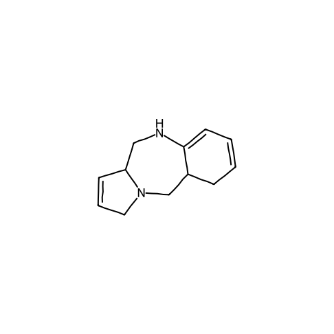 C1=CCC2CN3CC=CC3CNC2=C1